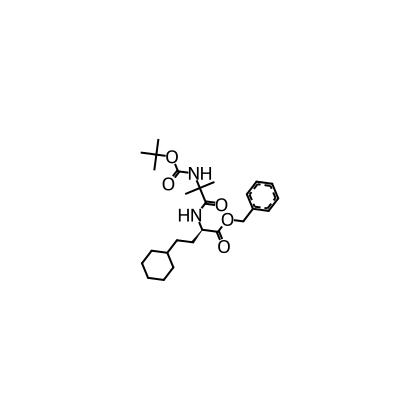 CC(C)(C)OC(=O)NC(C)(C)C(=O)N[C@H](CCC1CCCCC1)C(=O)OCc1ccccc1